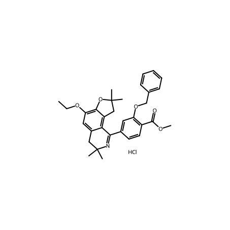 CCOc1cc2c(c3c1OC(C)(C)C3)C(c1ccc(C(=O)OC)c(OCc3ccccc3)c1)=NC(C)(C)C2.Cl